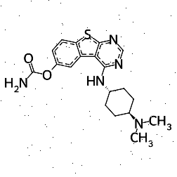 CN(C)[C@H]1CC[C@H](Nc2ncnc3sc4ccc(OC(N)=O)cc4c23)CC1